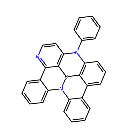 c1ccc(N2c3cccc4c3B3c5c2ccnc5-c2ccccc2N3c2ccccc2-4)cc1